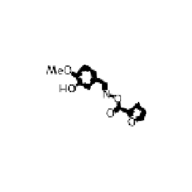 COc1ccc(/C=N/OC(=O)c2ccco2)cc1O